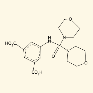 O=C(O)c1cc(NP(=O)(N2CCOCC2)N2CCOCC2)cc(C(=O)O)c1